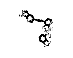 O=S(=O)(Nc1nccc(C#Cc2cnc3[nH]ncc3c2)c1F)c1cccc2c1OCO2